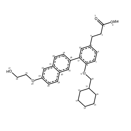 COC(=O)CCc1ccc(OCC2CCCCC2)c(-c2ccc3cc(OCCO)ccc3c2)c1